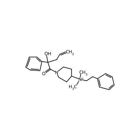 C=CCC(O)(C(=O)N1CCC([N+](C)(C)CCc2ccccc2)CC1)c1ccccc1